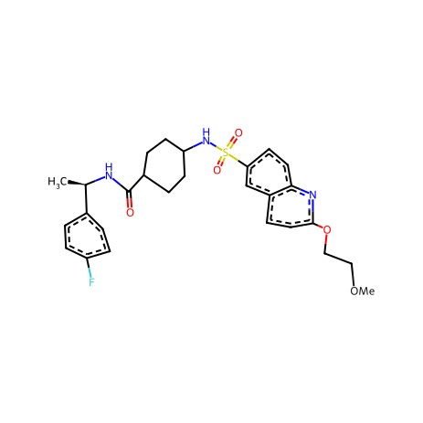 COCCOc1ccc2cc(S(=O)(=O)NC3CCC(C(=O)N[C@H](C)c4ccc(F)cc4)CC3)ccc2n1